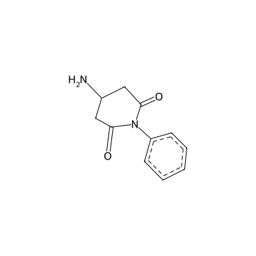 NC1CC(=O)N(c2ccccc2)C(=O)C1